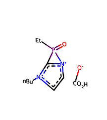 CCCCn1cc[n+]2c1P2(=O)CC.O=C([O-])O